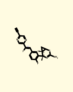 C#Cc1cnc(/C(F)=C/c2ccc(F)c([C@@]3(C)N=C(N)S[C]4C[C@H]43)c2)cn1